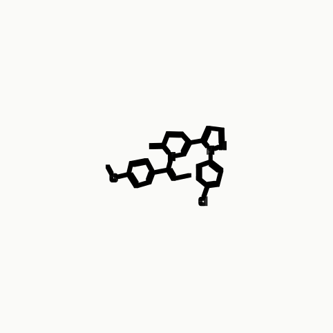 C=C1C=CC(c2ccnn2-c2ccc(Cl)cc2)=CN1/C(=C\C)c1ccc(OC)cc1